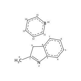 CC1=Nc2ccccc2C1.b1ccccc1